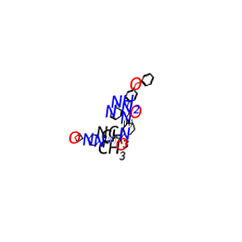 CC(C)(/C=C(\C#N)C(=O)N1CCC[C@@H](n2c(=O)n(-c3ccc(Oc4ccccc4)cc3)c3c(N)nccc32)C1)N1CCN(C2COC2)CC1